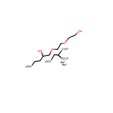 CCCCCCCCCCCCC(O)COCCOCCO.O=C([O-])CC(C(=O)[O-])S(=O)(=O)O.[Na+].[Na+]